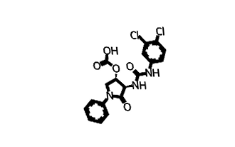 O=C(Nc1ccc(Cl)c(Cl)c1)N[C@H]1C(=O)N(c2ccccc2)C[C@@H]1OC(=O)O